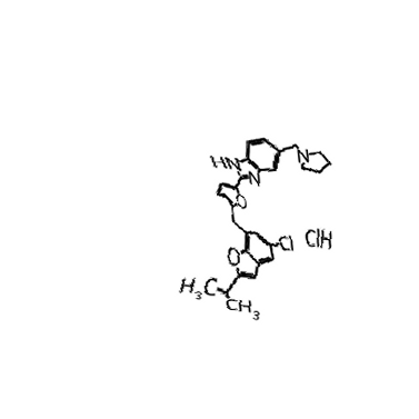 CC(C)c1cc2cc(Cl)cc(Cc3ccc(-c4nc5cc(CN6CCCC6)ccc5[nH]4)o3)c2o1.Cl